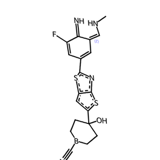 CN/C=C1/C=C(c2nc3sc(C4(O)CCB(C#N)CC4)cc3s2)C=C(F)C1=N